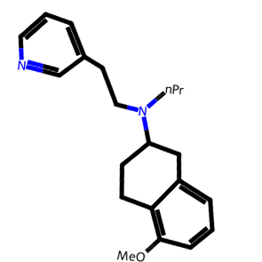 CCCN(CCc1cccnc1)C1CCc2c(cccc2OC)C1